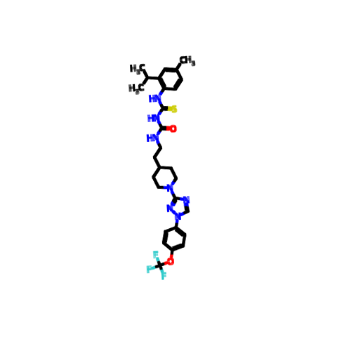 Cc1ccc(NC(=S)NC(=O)NCCC2CCN(c3ncn(-c4ccc(OC(F)(F)F)cc4)n3)CC2)c(C(C)C)c1